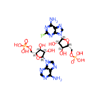 Nc1nc(F)nc2c1ncn2[C@@H]1O[C@H](COP(=O)(O)O)[C@@H](O)[C@@H]1O.Nc1ncnc2c1ncn2[C@@H]1O[C@H](COP(=O)(O)O)[C@@H](O)[C@@H]1O